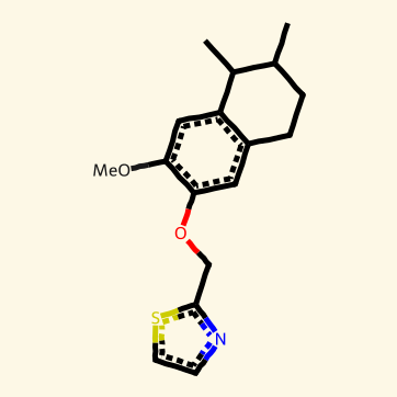 COc1cc2c(cc1OCc1nccs1)CCC(C)C2C